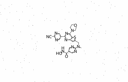 CN(Cc1cc2nc(-c3cnc(C#N)nc3)nc(N3CCOCC3)c2s1)c1ncc(C(=O)NO)cn1